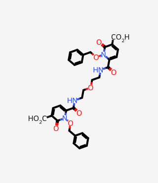 O=C(O)c1ccc(C(=O)NCCOCCNC(=O)c2ccc(C(=O)O)c(=O)n2OCc2ccccc2)n(OCc2ccccc2)c1=O